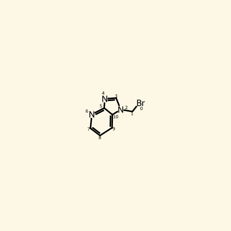 BrCn1cnc2ncccc21